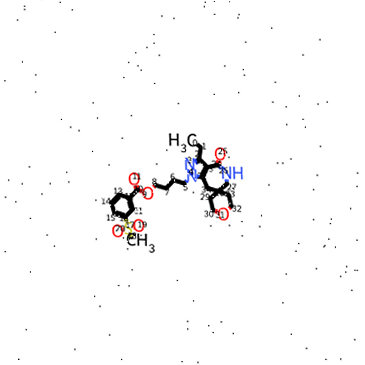 CCc1nn(CCCCOC(=O)c2cccc(S(C)(=O)=O)c2)c2c1C(=O)NCC1(CCOCC1)C2